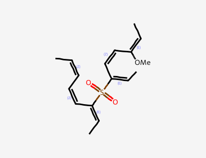 C\C=C/C=C\C(=C/C)S(=O)(=O)C(/C=C\C(=C/C)OC)=C/C